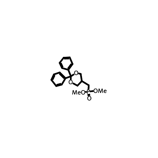 COP(=O)(CC1COC(c2ccccc2)(c2ccccc2)OC1)OC